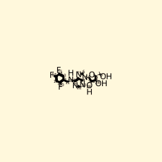 OC[C@H]1O[C@@H](n2cnc3c(NCc4cc(F)c(F)cc4F)ncnc32)[C@H](O)[C@@H]1O